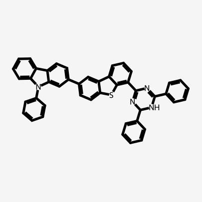 c1ccc(C2=NC(c3cccc4c3sc3ccc(-c5ccc6c7ccccc7n(-c7ccccc7)c6c5)cc34)=NC(c3ccccc3)N2)cc1